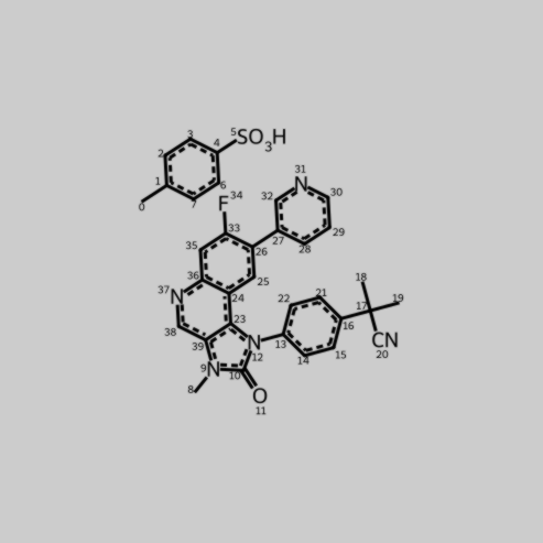 Cc1ccc(S(=O)(=O)O)cc1.Cn1c(=O)n(-c2ccc(C(C)(C)C#N)cc2)c2c3cc(-c4cccnc4)c(F)cc3ncc21